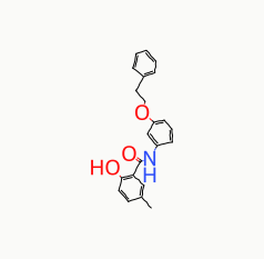 Cc1ccc(O)c(C(=O)Nc2cccc(OCCc3ccccc3)c2)c1